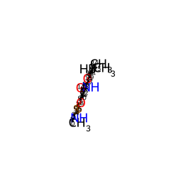 CCNCCSSCOCCCCC(=O)NCCOC/C=C/BC(C)C